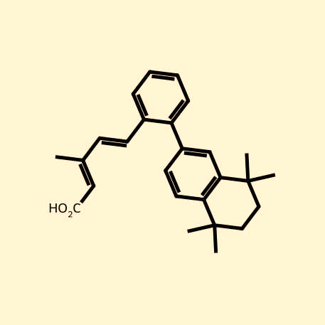 CC(C=Cc1ccccc1-c1ccc2c(c1)C(C)(C)CCC2(C)C)=CC(=O)O